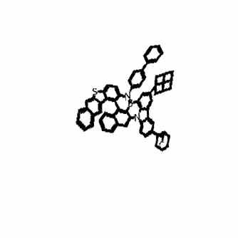 c1ccc(-c2ccc(N3B4c5c(cc6ccccc6c5-c5c3ccc3sc6cc7ccccc7cc6c53)-n3c5ccc(C6CC7CCC6CC7)cc5c5cc(C67CC8CC9CC(C6)C987)cc4c53)cc2)cc1